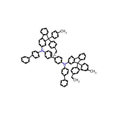 C=Cc1ccc(C2(c3ccc(C)cc3)c3ccccc3-c3ccc(N(c4ccc(-c5ccccc5)cc4)c4ccc(-c5ccc(N(c6ccc(-c7ccccc7)cc6)c6ccc7c(c6)C(c6ccc(C)cc6)(c6ccc(C=C)cc6)c6ccccc6-7)cc5)cc4)cc32)cc1